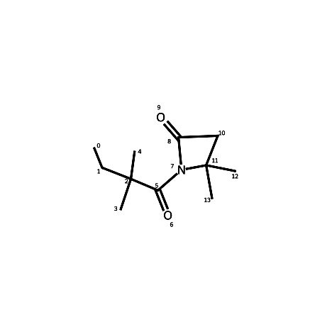 CCC(C)(C)C(=O)N1C(=O)CC1(C)C